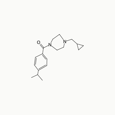 CC(C)c1ccc(C(=O)N2CCN(CC3CC3)CC2)cc1